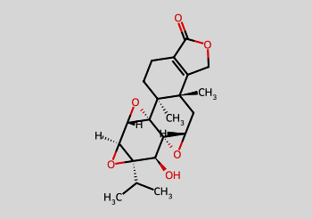 CC(C)[C@]12O[C@H]1[C@@H]1O[C@]13[C@]1(O[C@H]1C[C@@]1(C)C4=C(CC[C@]31C)C(=O)OC4)[C@H]2O